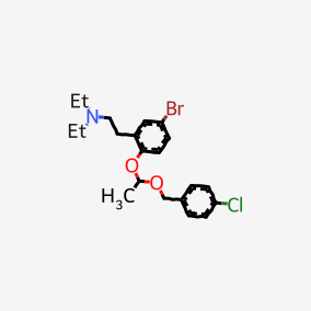 CCN(CC)CCc1cc(Br)ccc1OC(C)OCc1ccc(Cl)cc1